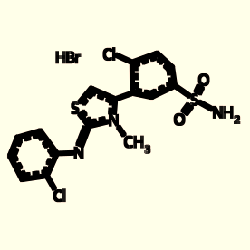 Br.Cn1c(-c2cc(S(N)(=O)=O)ccc2Cl)csc1=Nc1ccccc1Cl